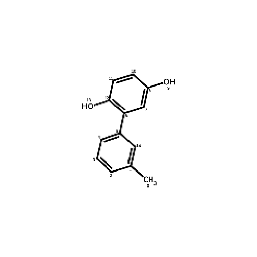 Cc1cccc(-c2cc(O)ccc2O)c1